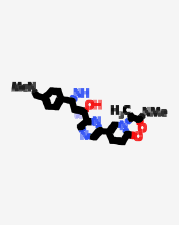 CNCc1ccc(C(=N)/C=C(\O)c2cncc(-c3ccc(=O)n(C(C)C(=O)NC)c3)n2)cc1